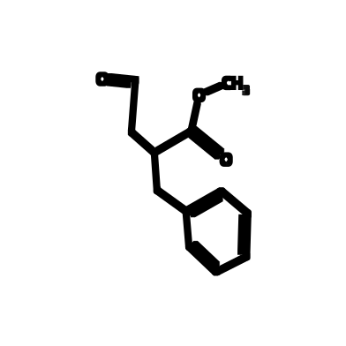 COC(=O)C(CC=O)Cc1ccccc1